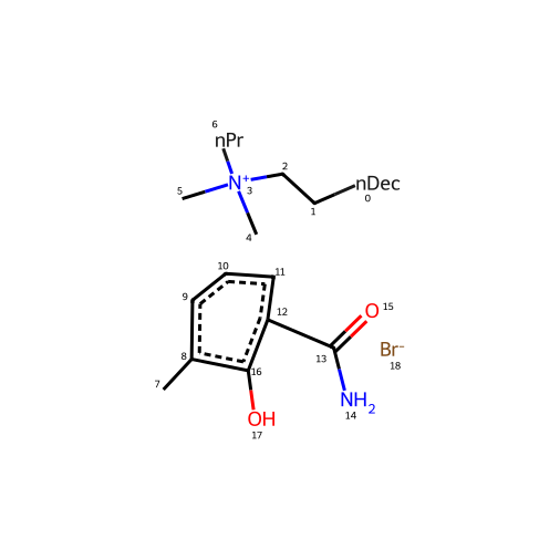 CCCCCCCCCCCC[N+](C)(C)CCC.Cc1cccc(C(N)=O)c1O.[Br-]